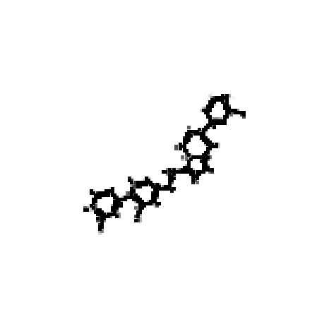 Cc1cc(-c2cnn3c(NCc4cnc(-c5ccnc(C)c5)c(C)c4)ncc3c2)ccn1